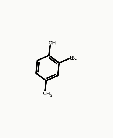 Cc1c[c]c(O)c(C(C)(C)C)c1